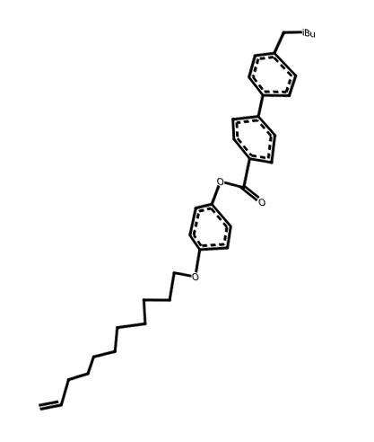 C=CCCCCCCCCCOc1ccc(OC(=O)c2ccc(-c3ccc(CC(C)CC)cc3)cc2)cc1